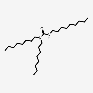 CCCCCCCCCNC(=O)N(CCCCCCCC)CCCCCCCC